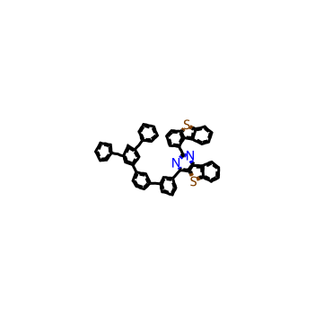 c1ccc(-c2cc(-c3ccccc3)cc(-c3cccc(-c4cccc(-c5nc(-c6cccc7sc8ccccc8c67)nc6c5sc5ccccc56)c4)c3)c2)cc1